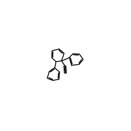 C#CC1(c2ccccc2)C=CC=CC1c1ccccc1